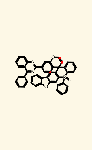 O=P1(c2ccccc2)c2ccccc2C2(c3ccccc3Oc3cc(-c4nc(-c5ccccc5)c5ccccc5n4)ccc32)c2cc3c(cc21)oc1ccccc13